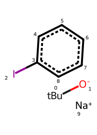 CC(C)(C)[O-].Ic1ccccc1.[Na+]